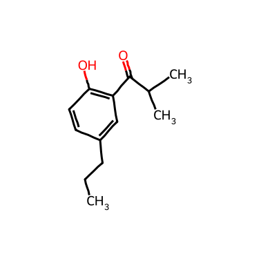 CCCc1ccc(O)c(C(=O)C(C)C)c1